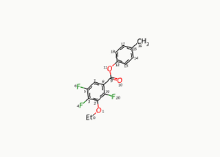 CCOc1c(F)c(F)cc(C(=O)Oc2ccc(C)cc2)c1F